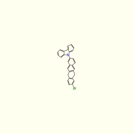 Brc1ccc2c(c1)Cc1cc3ccc(-n4c5ccccc5c5ccccc54)cc3cc1C2